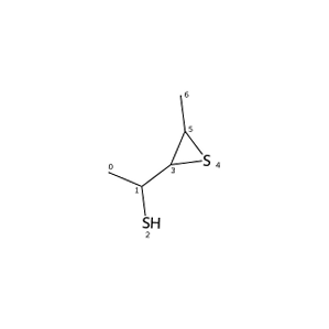 CC(S)C1SC1C